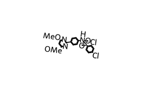 COc1cc(OC)nc(-c2ccc(NS(=O)(=O)c3ccc(Cl)cc3Cl)cc2)n1